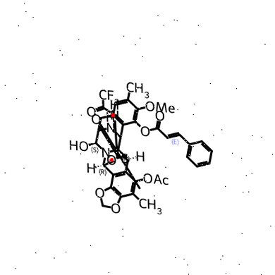 COc1c(C)cc2c(c1OC(=O)/C=C/c1ccccc1)C1NC(C2)[C@H](O)N2C1[C@@H]1SCC(NC(=O)C(F)(F)F)C(=O)OC[C@H]2c2c3c(c(C)c(OC(C)=O)c21)OCO3